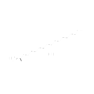 CCCCCCCCCCCCCCCC(N)=O.[KH]